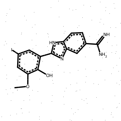 COc1cc(I)cc(-c2nc3cc(C(=N)N)ccc3[nH]2)c1O